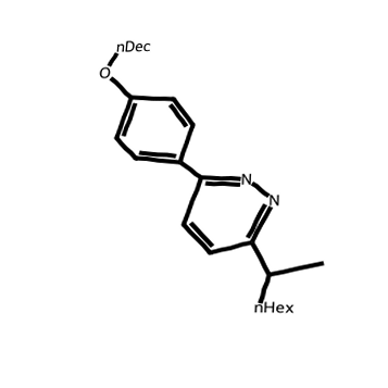 CCCCCCCCCCOc1ccc(-c2ccc(C(C)CCCCCC)nn2)cc1